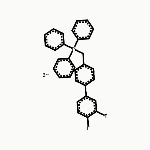 Fc1ccc(-c2ccc(C[P+](c3ccccc3)(c3ccccc3)c3ccccc3)cc2)cc1F.[Br-]